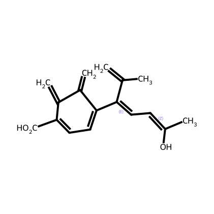 C=C(C)/C(=C\C=C(\C)O)c1ccc(C(=O)O)c(=C)c1=C